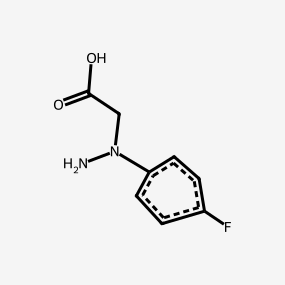 NN(CC(=O)O)c1ccc(F)cc1